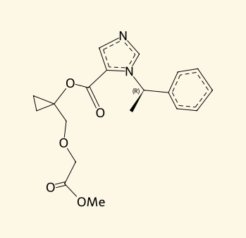 COC(=O)COCC1(OC(=O)c2cncn2[C@H](C)c2ccccc2)CC1